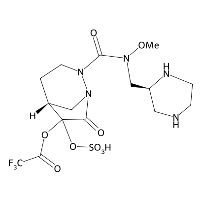 CON(C[C@@H]1CNCCN1)C(=O)N1CC[C@@H]2CN1C(=O)C2(OC(=O)C(F)(F)F)OS(=O)(=O)O